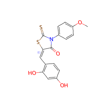 COc1ccc(N2C(=O)/C(=C\c3ccc(O)cc3O)SC2=S)cc1